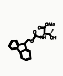 COC(=O)[C@@H](NC(=O)OCC1c2ccccc2-c2ccccc21)[C@H](C)O